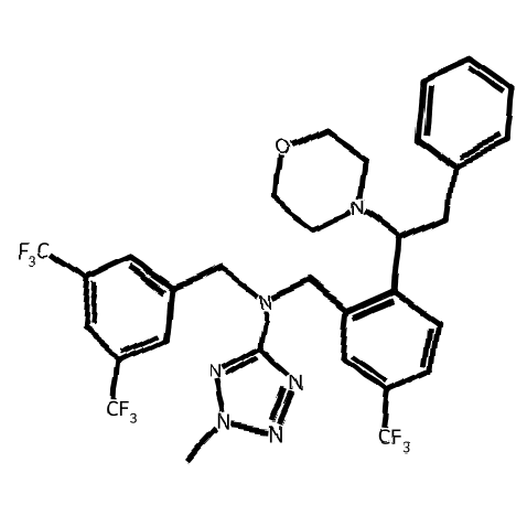 Cn1nnc(N(Cc2cc(C(F)(F)F)cc(C(F)(F)F)c2)Cc2cc(C(F)(F)F)ccc2C(Cc2ccccc2)N2CCOCC2)n1